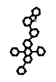 c1ccc(-c2ccc3c(-c4ccccc4)c4cc(-c5cccc(-c6cccc7c6sc6ccccc67)c5)ccc4c(-c4ccccc4)c3c2)cc1